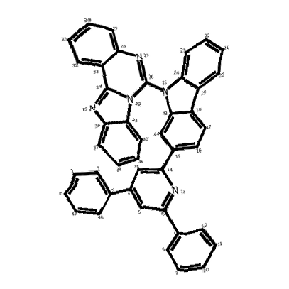 c1ccc(-c2cc(-c3ccccc3)nc(-c3ccc4c5ccccc5n(-c5nc6ccccc6c6nc7ccccc7n56)c4c3)c2)cc1